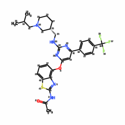 CC(=O)Nc1nc2c(Oc3cc(-c4ccc(C(F)(F)F)cc4)nc(NC[C@H]4CCCN(CC(C)C)C4)n3)cccc2s1